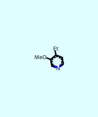 [CH2]Cc1ccncc1OC